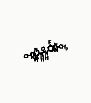 Cc1nc2c(F)cc(NC(=O)Nc3cnc4cc(Cl)nn4c3C(C)C)cn2n1